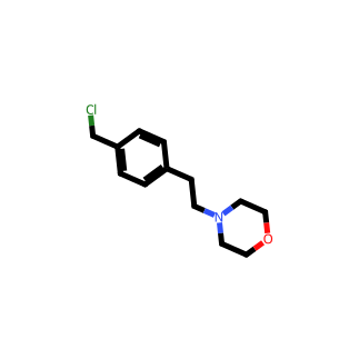 ClCc1ccc(CCN2CCOCC2)cc1